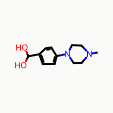 CN1CCN(c2ccc(C(O)O)cc2)CC1